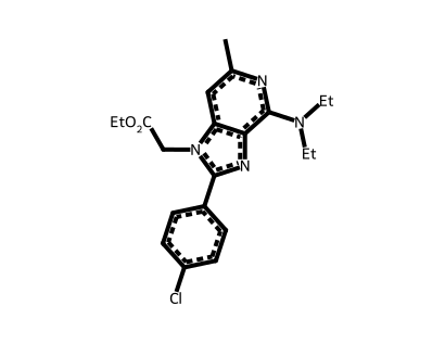 CCOC(=O)Cn1c(-c2ccc(Cl)cc2)nc2c(N(CC)CC)nc(C)cc21